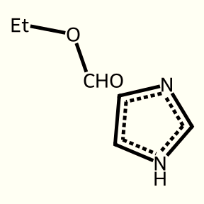 CCOC=O.c1c[nH]cn1